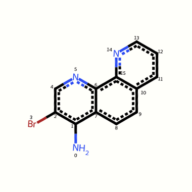 Nc1c(Br)cnc2c1ccc1cccnc12